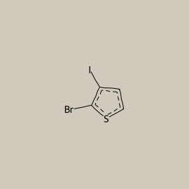 Brc1sccc1I